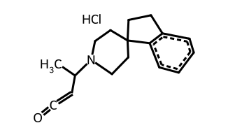 CC(C=C=O)N1CCC2(CCc3ccccc32)CC1.Cl